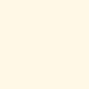 CCCOCCOCCOCCOCCSC(C)(C)CN(C)CCOC